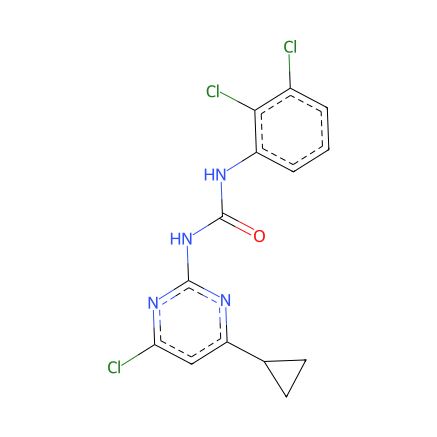 O=C(Nc1nc(Cl)cc(C2CC2)n1)Nc1cccc(Cl)c1Cl